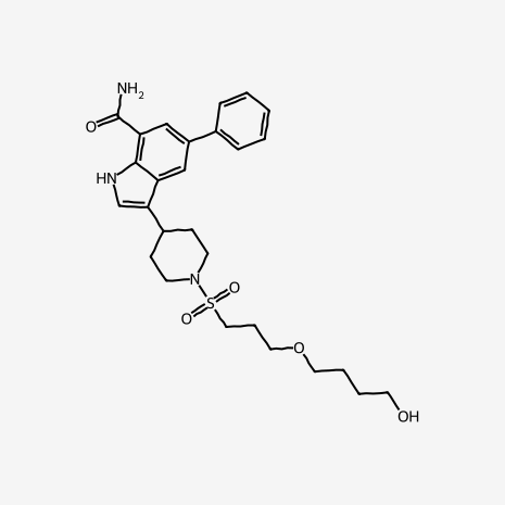 NC(=O)c1cc(-c2ccccc2)cc2c(C3CCN(S(=O)(=O)CCCOCCCCO)CC3)c[nH]c12